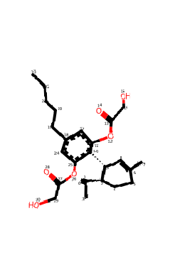 C=C(C)[C@@H]1CCC(C)=C[C@H]1c1c(OC(=O)CO)cc(CCCCC)cc1OC(=O)CO